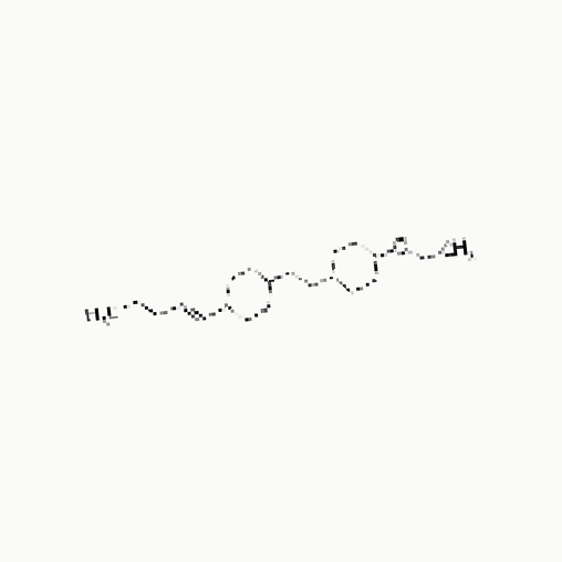 CCCC=CC1CCC(CCC2CCC(OCC)CC2)CC1